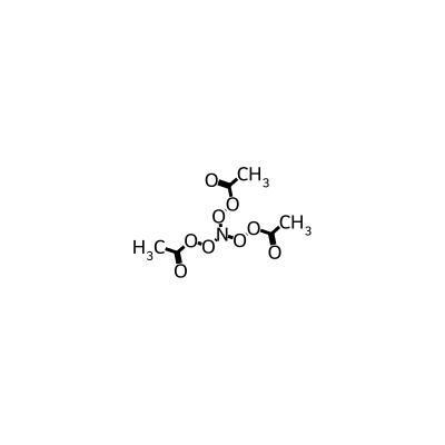 CC(=O)OON(OOC(C)=O)OOC(C)=O